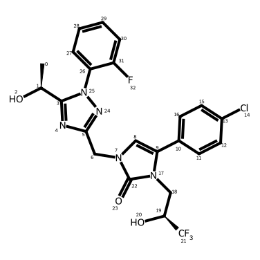 C[C@H](O)c1nc(Cn2cc(-c3ccc(Cl)cc3)n(C[C@H](O)C(F)(F)F)c2=O)nn1-c1ccccc1F